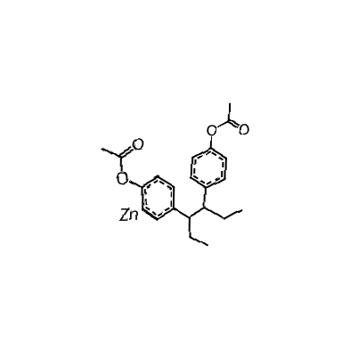 CCC(c1ccc(OC(C)=O)cc1)C(CC)c1ccc(OC(C)=O)cc1.[Zn]